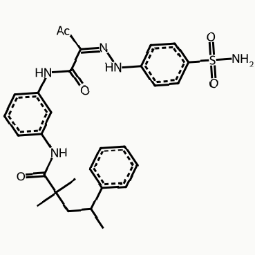 CC(=O)/C(=N/Nc1ccc(S(N)(=O)=O)cc1)C(=O)Nc1cccc(NC(=O)C(C)(C)CC(C)c2ccccc2)c1